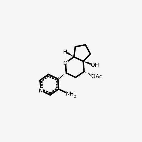 CC(=O)O[C@@H]1C[C@H](c2ccncc2N)O[C@@H]2CCC[C@]12O